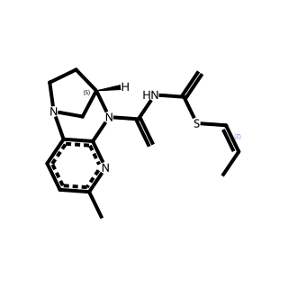 C=C(NC(=C)N1c2nc(C)ccc2N2CC[C@H]1C2)S/C=C\C